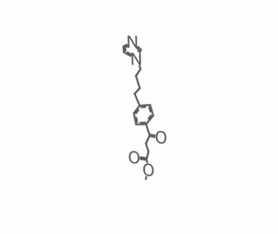 COC(=O)CCC(=O)c1ccc(CCCCn2ccnc2)cc1